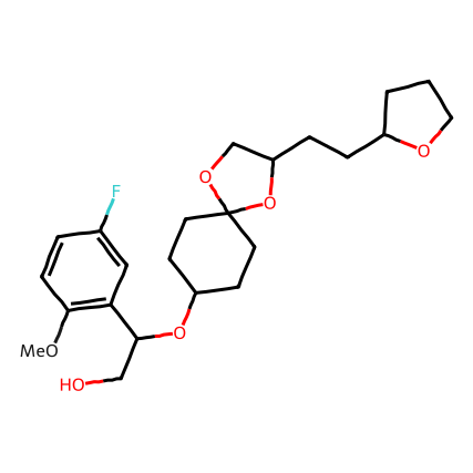 COc1ccc(F)cc1C(CO)OC1CCC2(CC1)OCC(CCC1CCCO1)O2